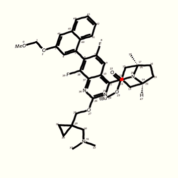 COCOc1cc(-c2c(F)cc3c(N4C[C@@H]5CC[C@](C)(C4)N5C(=O)OC(C)(C)C)nc(OCC4(CN(C)C)CC4)nc3c2F)c2ccccc2c1